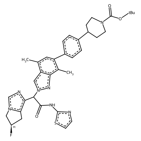 Cc1cc(-c2ccc(C3CCN(C(=O)OC(C)(C)C)CC3)cc2)c(C)c2nn(C(C(=O)Nc3nccs3)c3ncn4c3C[C@@H](F)C4)cc12